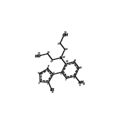 CCc1ccsc1-c1cc(N)ccc1N(CCO)CCO